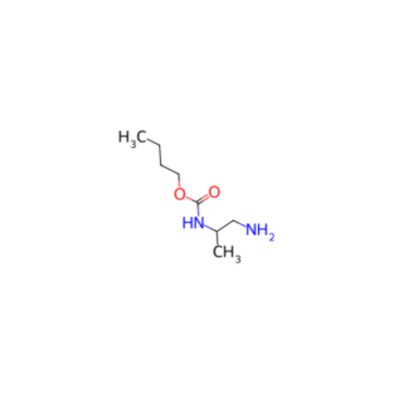 CCCCOC(=O)NC(C)CN